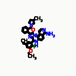 C=C1CCN(C(=O)c2ccccc2-c2c[nH]c(C(Nc3ccc4c(N)nccc4c3)c3cc(CC)cc(OCC)c3F)n2)C1